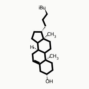 CC[C@H](C)CCC[C@H]1CCC2[C@@H]3CC=C4C[C@@H](O)CC[C@]4(C)C3CC[C@@]21C